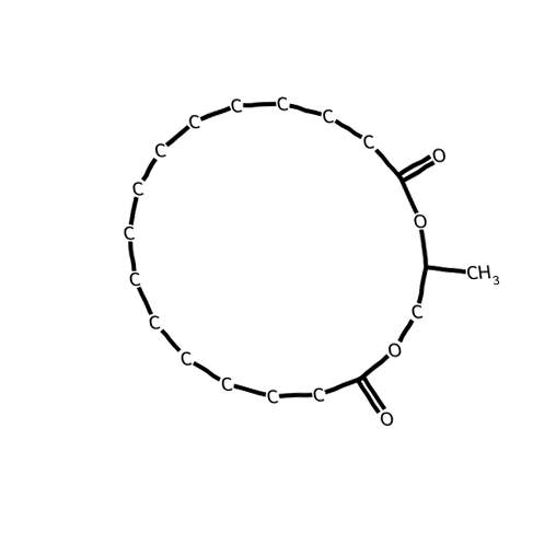 CC1COC(=O)CCCCCCCCCCCCCCC(=O)O1